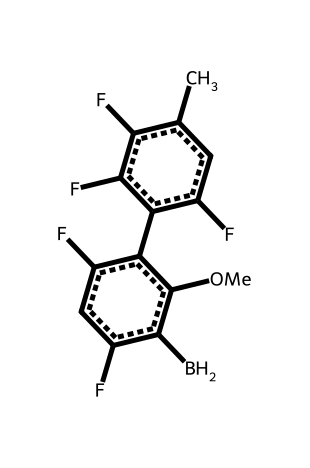 Bc1c(F)cc(F)c(-c2c(F)cc(C)c(F)c2F)c1OC